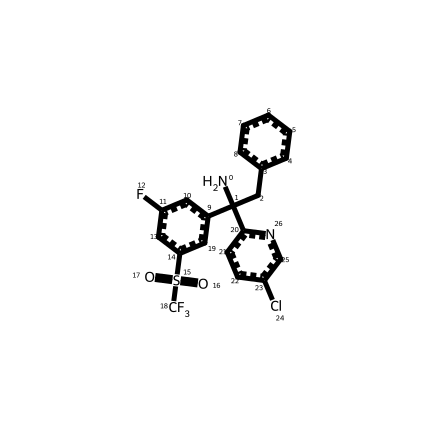 NC(Cc1ccccc1)(c1cc(F)cc(S(=O)(=O)C(F)(F)F)c1)c1ccc(Cl)cn1